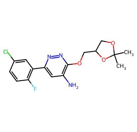 CC1(C)OCC(COc2nnc(-c3cc(Cl)ccc3F)cc2N)O1